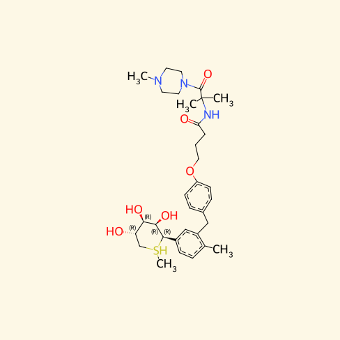 Cc1ccc([C@@H]2[C@H](O)[C@H](O)[C@@H](O)C[SH]2C)cc1Cc1ccc(OCCCC(=O)NC(C)(C)C(=O)N2CCN(C)CC2)cc1